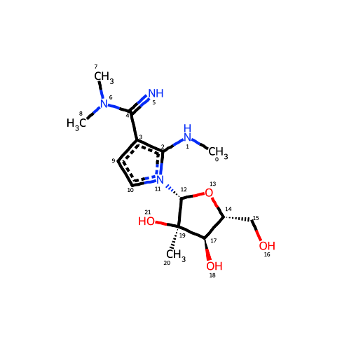 CNc1c(C(=N)N(C)C)ccn1[C@@H]1O[C@H](CO)[C@@H](O)[C@@]1(C)O